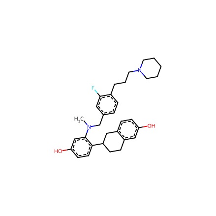 CN(Cc1ccc(CCCN2CCCCC2)c(F)c1)c1cc(O)ccc1C1CCc2cc(O)ccc2C1